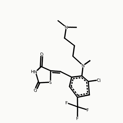 CN(C)CCCN(C)c1c(Cl)cc(C(F)(F)F)cc1C=C1SC(=O)NC1=O